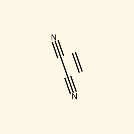 C=C.N#CC#N